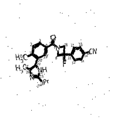 Cc1ccc(C(=O)N2CC(F)(c3ccc(C#N)cc3)C2)cc1-c1[nH]c(C(C)C)nc1C